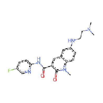 CN(C)CCNc1ccc2c(c1)cc(C(=O)Nc1ccc(F)cn1)c(=O)n2C